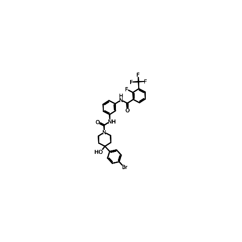 O=C(Nc1cccc(NC(=O)N2CCC(O)(c3ccc(Br)cc3)CC2)c1)c1cccc(C(F)(F)F)c1F